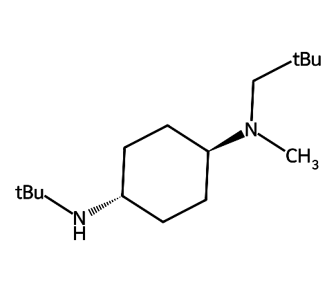 CN(CC(C)(C)C)[C@H]1CC[C@H](NC(C)(C)C)CC1